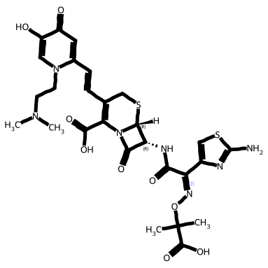 CN(C)CCn1cc(O)c(=O)cc1C=CC1=C(C(=O)O)N2C(=O)[C@@H](NC(=O)/C(=N\OC(C)(C)C(=O)O)c3csc(N)n3)[C@H]2SC1